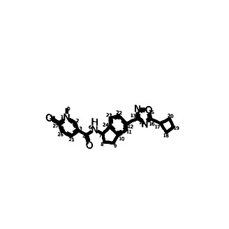 Cn1cc(C(=O)NC2CCc3cc(-c4noc(C5CCC5)n4)ccc32)ccc1=O